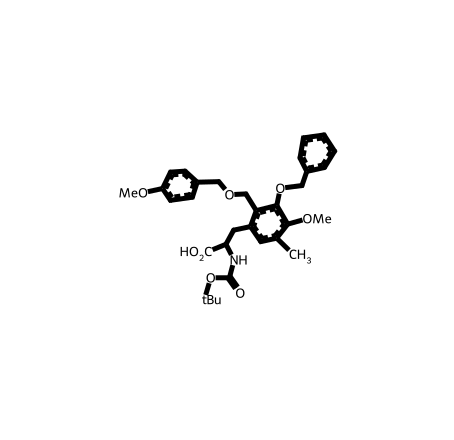 COc1ccc(COCc2c(CC(NC(=O)OC(C)(C)C)C(=O)O)cc(C)c(OC)c2OCc2ccccc2)cc1